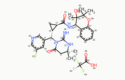 CC[C@]1(C)CC(=O)N(C(c2cncc(F)c2)[C@@H]2C[C@H]2C(=O)NC2c3ccccc3OC(C)(C)C2(C)O)C(=N)N1.O=C(O)C(F)(F)F